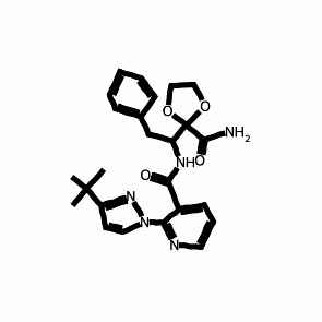 CC(C)(C)c1ccn(-c2ncccc2C(=O)NC(Cc2ccccc2)C2(C(N)=O)OCCO2)n1